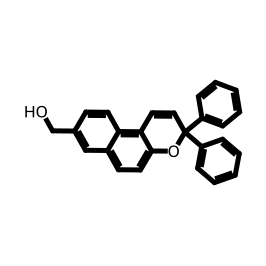 OCc1ccc2c3c(ccc2c1)OC(c1ccccc1)(c1ccccc1)C=C3